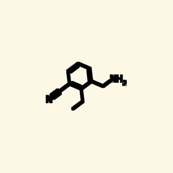 CCc1c(C#N)cccc1CN